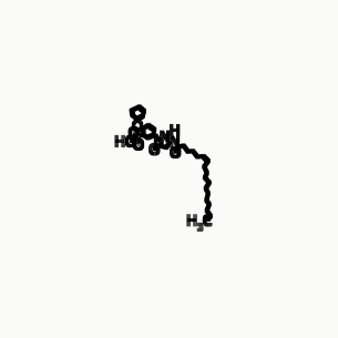 CCCCCCCCCCC/C=C\CCCCC(=O)NC1=NN(c2ccc(Oc3ccccc3)c(S(=O)(=O)O)c2)C(=O)C1